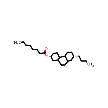 CCCCCCCC(=O)O[C@@H]1CCC2C(CCC3C[C@H](CCCC)CCC32)C1